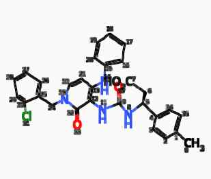 Cc1ccc([C@H](CC(=O)O)NC(=O)Nc2c(Nc3ccccc3)ccn(Cc3ccccc3Cl)c2=O)cc1